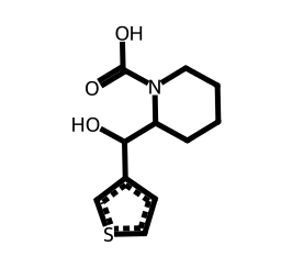 O=C(O)N1CCCCC1C(O)c1ccsc1